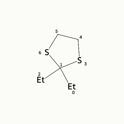 CCC1(CC)SCCS1